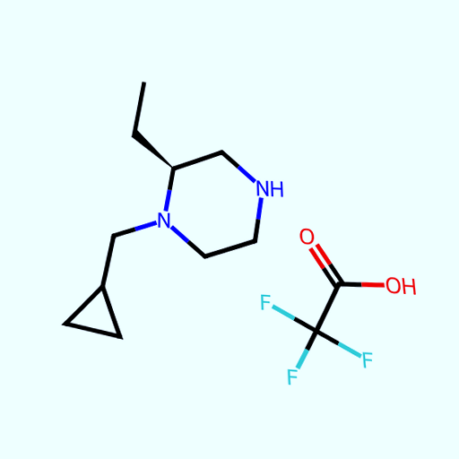 CC[C@H]1CNCCN1CC1CC1.O=C(O)C(F)(F)F